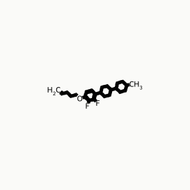 C=CCCCOc1ccc(C2CCC(C3CCC(C)CC3)CC2)c(F)c1F